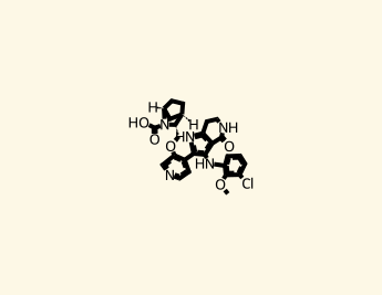 COc1c(Cl)cccc1Nc1c(-c2ccncc2OC[C@H]2[C@@H]3CC[C@@H](C3)N2C(=O)O)[nH]c2c1C(=O)NCC2